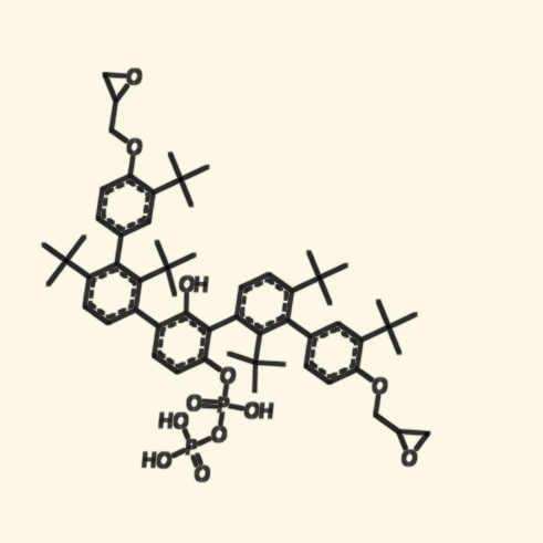 CC(C)(C)c1cc(-c2c(C(C)(C)C)ccc(-c3ccc(OP(=O)(O)OP(=O)(O)O)c(-c4ccc(C(C)(C)C)c(-c5ccc(OCC6CO6)c(C(C)(C)C)c5)c4C(C)(C)C)c3O)c2C(C)(C)C)ccc1OCC1CO1